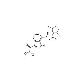 COC(=O)C(=O)c1c[nH]c2c(CO[Si](C(C)C)(C(C)C)C(C)C)cccc12